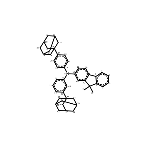 CC1(C)c2ccccc2-c2ccc(N(c3ccc(C45CC6CC(CC(C6)C4)C5)cc3)c3cccc(C45CC6CC(CC(C6)C4)C5)c3)cc21